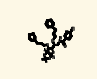 CC1(C)O[C@H]2O[C@H]([C@@H](CNC(=O)c3ccc(Cl)cc3)OCCCc3ccccc3)[C@H](OCCCc3ccccc3)[C@H]2O1